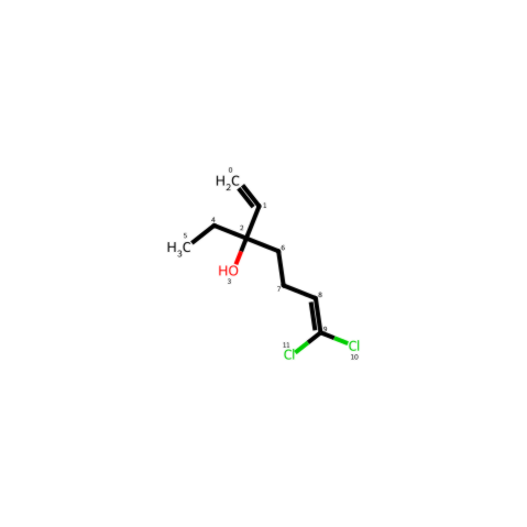 C=CC(O)(CC)CCC=C(Cl)Cl